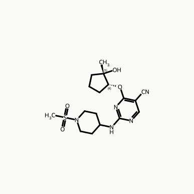 C[C@]1(O)CCC[C@H]1Oc1nc(NC2CCN(S(C)(=O)=O)CC2)ncc1C#N